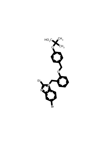 CCc1nc2cc(Br)ccc2n1Cc1ccccc1OCc1ccc(OC(C)(C)C(=O)O)cc1